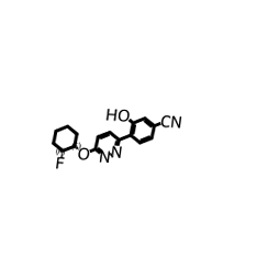 N#Cc1ccc(-c2ccc(O[C@H]3CCCC[C@H]3F)nn2)c(O)c1